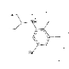 Cc1cc(Br)cc(NC2CCCC2)c1C